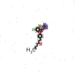 CCCCCC(=O)C=Cc1ccc(OCC(O)(Cn2cncn2)c2ccc(F)cc2F)cc1